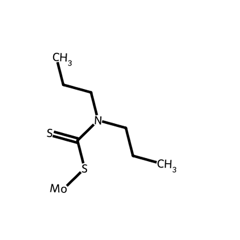 CCCN(CCC)C(=S)[S][Mo]